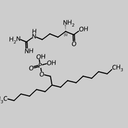 CCCCCCCCC(CCCCCC)COP(=O)(O)O.N=C(N)NCCC[C@H](N)C(=O)O